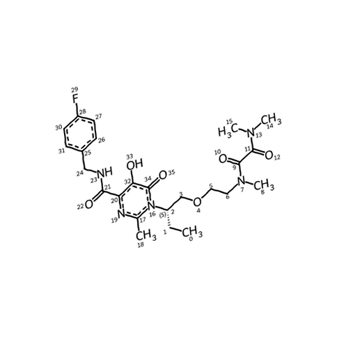 CC[C@@H](COCCN(C)C(=O)C(=O)N(C)C)n1c(C)nc(C(=O)NCc2ccc(F)cc2)c(O)c1=O